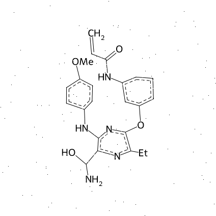 C=CC(=O)Nc1cccc(Oc2nc(Nc3ccc(OC)cc3)c(C(N)O)nc2CC)c1